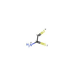 NC(=S)[C]=S